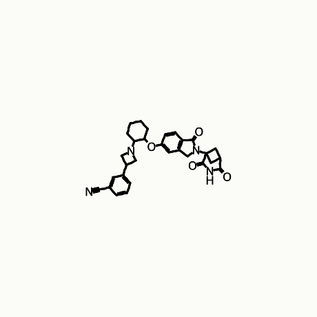 N#Cc1cccc(C2CN(C3CCCCC3Oc3ccc4c(c3)CN(C35CC(C3)C(=O)NC5=O)C4=O)C2)c1